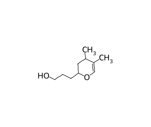 CC1=COC(CCCO)CC1C